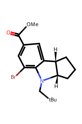 COC(=O)c1cc(Br)c2c(c1)[C@@H]1CCC[C@@H]1N2CC(C)(C)C